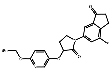 CCC(C)COc1ccc(OC2CCN(c3cc(F)c4c(c3)C(=O)CC4)C2=O)cn1